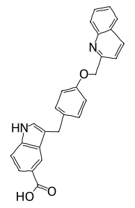 O=C(O)c1ccc2[nH]cc(Cc3ccc(OCc4ccc5ccccc5n4)cc3)c2c1